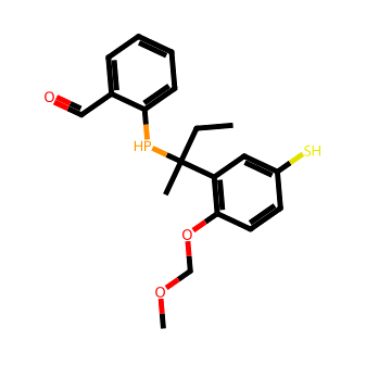 CCC(C)(Pc1ccccc1C=O)c1cc(S)ccc1OCOC